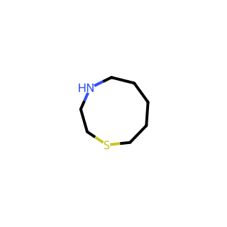 C1CCNCCSCC1